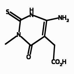 Cn1c(=S)[nH]c(N)c(CC(=O)O)c1=O